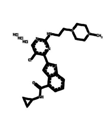 CN1CCN(CCNc2ncc(Cl)c(-c3cc4c(C(=O)NC5CC5)cccc4s3)n2)CC1.Cl.Cl.Cl